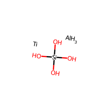 O[Si](O)(O)O.[AlH3].[Ti]